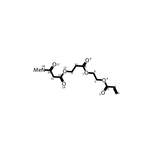 C=CC(=O)OCCOC(=O)CCOC(=O)CC(=O)NC